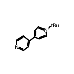 CC(C)(C)[n+]1ccc(-c2ccncc2)cc1